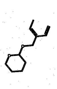 C=CC(=CC)COC1CCCCO1